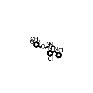 COc1ccc(COCc2nnc3n2-c2ccc(Cl)cc2C(c2ccccc2Cl)=NC3)cc1